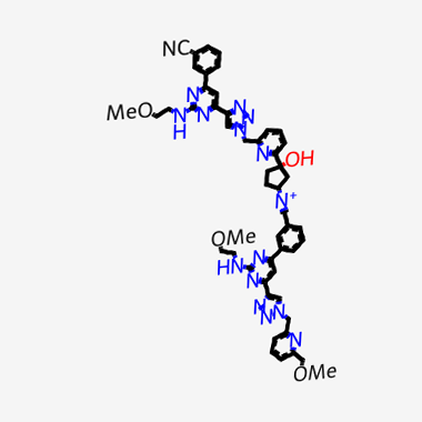 COCCNc1nc(-c2cccc(C#[N+]C3CCC(O)(c4cccc(Cn5cc(-c6cc(-c7cccc(C#N)c7)nc(NCCOC)n6)nn5)n4)C3)c2)cc(-c2cn(Cc3cccc(COC)n3)nn2)n1